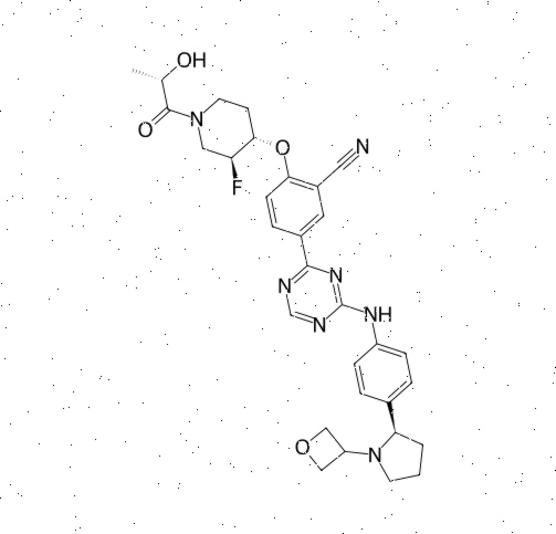 C[C@H](O)C(=O)N1CC[C@H](Oc2ccc(-c3ncnc(Nc4ccc([C@H]5CCCN5C5COC5)cc4)n3)cc2C#N)[C@@H](F)C1